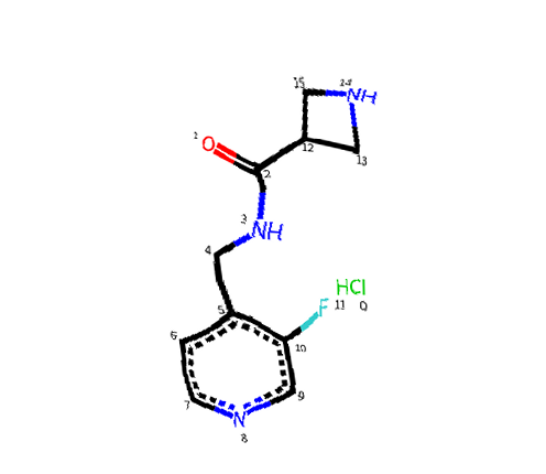 Cl.O=C(NCc1ccncc1F)C1CNC1